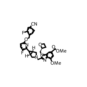 COC(=O)c1cc(OC)c2nc(CN3C[C@@H]4C(c5nc(OCc6ccc(C#N)cc6F)ccc5F)[C@@H]4C3)n(C[C@@H]3CCO3)c2c1